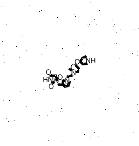 O=C1CCN(CC2=CC=CN(CCN3CCC(OC4CCNCC4)CC3)C2O)C(=O)N1